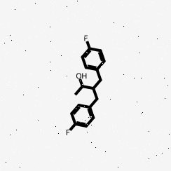 CC(O)C(Cc1ccc(F)cc1)Cc1ccc(F)cc1